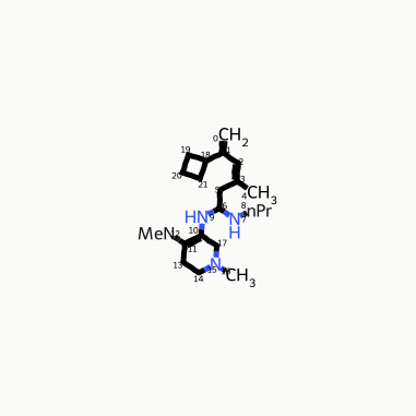 C=C(/C=C(/C)CC(NCCC)NC1=C(NC)CCN(C)C1)C1CCC1